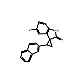 O=C1Nc2ccc(Cl)cc2C12CC2c1ccc2ccccc2c1